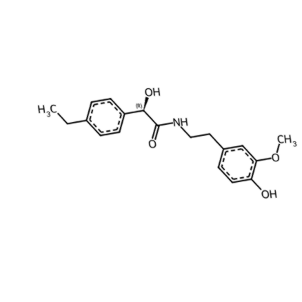 CCc1ccc([C@@H](O)C(=O)NCCc2ccc(O)c(OC)c2)cc1